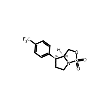 O=S1(=O)OC[C@@H]2[C@H](c3ccc(C(F)(F)F)cc3)CCN21